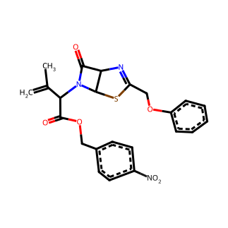 C=C(C)C(C(=O)OCc1ccc([N+](=O)[O-])cc1)N1C(=O)C2N=C(COc3ccccc3)SC21